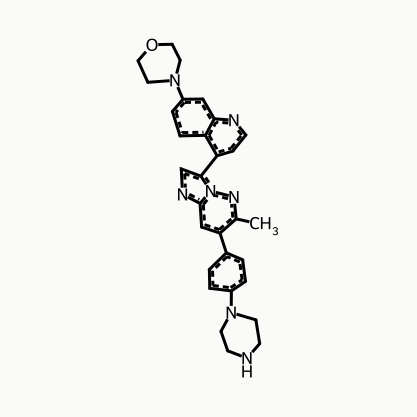 Cc1nn2c(-c3ccnc4cc(N5CCOCC5)ccc34)cnc2cc1-c1ccc(N2CCNCC2)cc1